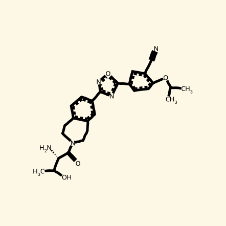 CC(C)Oc1ccc(-c2nc(-c3ccc4c(c3)CCN(C(=O)[C@@H](N)C(C)O)CC4)no2)cc1C#N